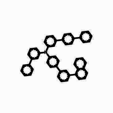 c1ccc(-c2ccc(-c3cccc(N(c4ccc(-c5cccc(-c6cccc7ccccc67)c5)cc4)c4cccc(-c5ccccc5)c4)c3)cc2)cc1